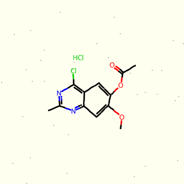 COc1cc2nc(C)nc(Cl)c2cc1OC(C)=O.Cl